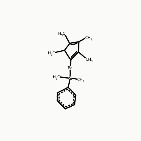 CC1=C(C)C(C)[C]([Ba][Si](C)(C)c2ccccc2)=C1C